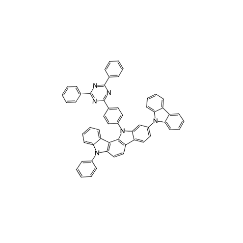 c1ccc(-c2nc(-c3ccccc3)nc(-c3ccc(-n4c5cc(-n6c7ccccc7c7ccccc76)ccc5c5ccc6c(c7ccccc7n6-c6ccccc6)c54)cc3)n2)cc1